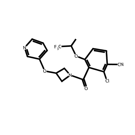 CC(Oc1ccc(C#N)c(Cl)c1C(=O)N1CC(Oc2cccnc2)C1)C(F)(F)F